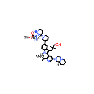 CCn1c(-c2cc(N3CCN4CCCC[C@@H]4C3)cnc2[C@H](C)OC)c(CC(C)(C)CO)c2cc(C3=CCCN([C@@]4(C(=O)O)CCCNN4NC(=O)OC(C)(C)C)C3)ccc21